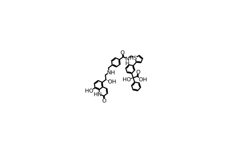 O=C(NC[SH]1C=CC=C1c1cccc([C@](O)(C(=O)O)c2ccccc2)c1)c1ccc(CNC[C@H](O)c2ccc(O)c3[nH]c(=O)ccc23)cc1